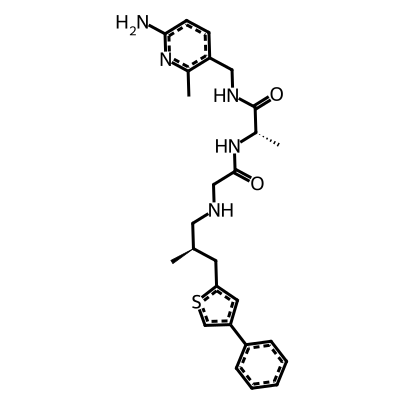 Cc1nc(N)ccc1CNC(=O)[C@H](C)NC(=O)CNC[C@H](C)Cc1cc(-c2ccccc2)cs1